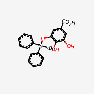 CC(C)(C)[Si](Oc1cc(C(=O)O)cc(O)c1O)(c1ccccc1)c1ccccc1